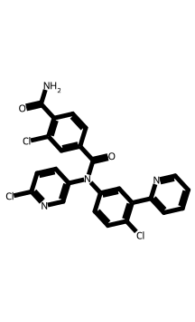 NC(=O)c1ccc(C(=O)N(c2ccc(Cl)nc2)c2ccc(Cl)c(-c3ccccn3)c2)cc1Cl